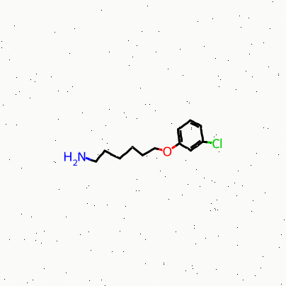 NCCCCCCOc1cccc(Cl)c1